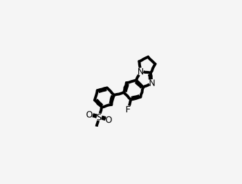 CS(=O)(=O)c1cccc(-c2cc3c(cc2F)nc2n3CCC2)c1